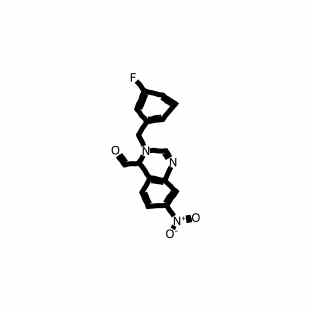 O=CC1c2ccc([N+](=O)[O-])cc2N=CN1Cc1cccc(F)c1